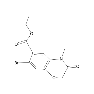 CCOC(=O)c1cc2c(cc1Br)OCC(=O)N2C